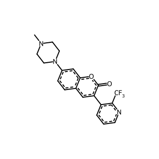 CN1CCN(c2ccc3cc(-c4cccnc4C(F)(F)F)c(=O)oc3c2)CC1